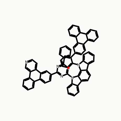 c1ccc(-c2nc(-c3ccc4c5ccccc5c5cnccc5c4c3)nc(-n3c4ccccc4c4ccc5c6ccccc6n(-c6ccccc6-c6ccc7c8ccccc8c8ccccc8c7c6)c5c43)n2)cc1